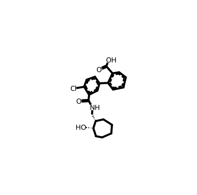 O=C(NC[C@@H]1CCCCC[C@@H]1O)c1cc(-c2ccccc2C(=O)O)ccc1Cl